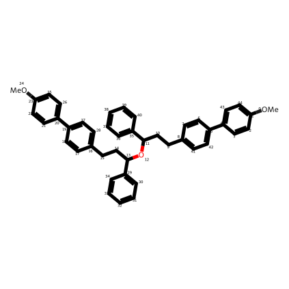 COc1ccc(-c2ccc(CCC(OC(CCc3ccc(-c4ccc(OC)cc4)cc3)c3ccccc3)c3ccccc3)cc2)cc1